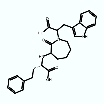 O=C(O)C(Cc1c[nH]c2ccccc12)N1CCCCC(N[C@@H](CCc2ccccc2)C(=O)O)C1=O